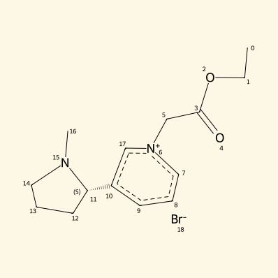 CCOC(=O)C[n+]1cccc([C@@H]2CCCN2C)c1.[Br-]